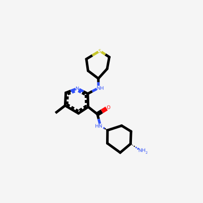 Cc1cnc(NC2CCSCC2)c(C(=O)N[C@H]2CC[C@@H](N)CC2)c1